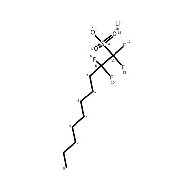 CCCCCCCCC(F)(F)C(F)(F)S(=O)(=O)[O-].[Li+]